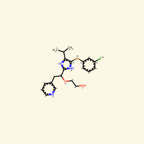 CC(C)c1nc(C(Cc2cccnc2)OCCO)[nH]c1Sc1cccc(F)c1